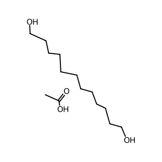 CC(=O)O.OCCCCCCCCCCCCO